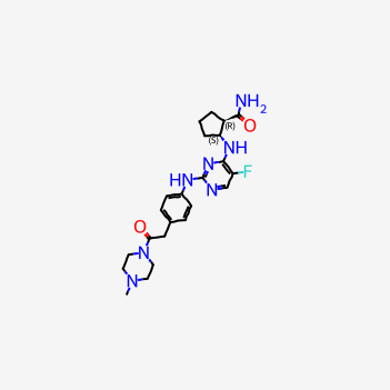 CN1CCN(C(=O)Cc2ccc(Nc3ncc(F)c(N[C@H]4CCC[C@H]4C(N)=O)n3)cc2)CC1